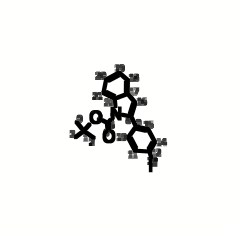 CC(C)(C)OC(=O)n1c(-c2ccc(F)cc2)cc2ccccc21